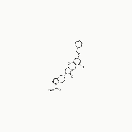 CC(C)COC(=O)n1ncc2c1CCC(N1CC[C@@H](Cc3c(Cl)cc(OCc4ccccc4)cc3Cl)C1=O)C2